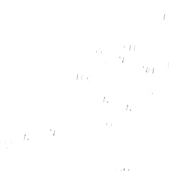 COc1ccc(Cn2c(=O)c3c(Nc4ccc(I)cc4F)n(C)c(=O)c(C)c3n(-c3cccc(CN4CCN(C(=O)O)CC4)c3)c2=O)cc1